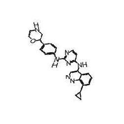 c1cc(C2CC2)c2nncc(Nc3ccnc(Nc4ccc(C5CNCCO5)cc4)n3)c2c1